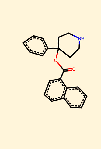 O=C(OC1(c2ccccc2)CCNCC1)c1cccc2ccccc12